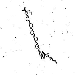 CCCCCSc1cn(CCOCCOCCOCCOCCOCCNC(C)C)nn1